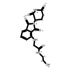 O=C(CNc1cccc2c1C(=O)N(C1CCC(=O)NC1=O)C2=O)NCCO